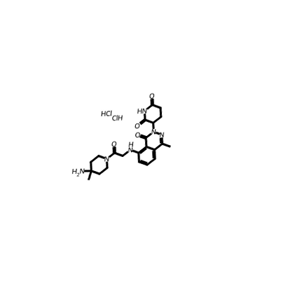 Cc1nn(C2CCC(=O)NC2=O)c(=O)c2c(NCC(=O)N3CCC(C)(N)CC3)cccc12.Cl.Cl